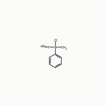 CCCCC[Si](C)(Cl)c1ccccc1